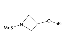 CSN1CC(OC(C)C)C1